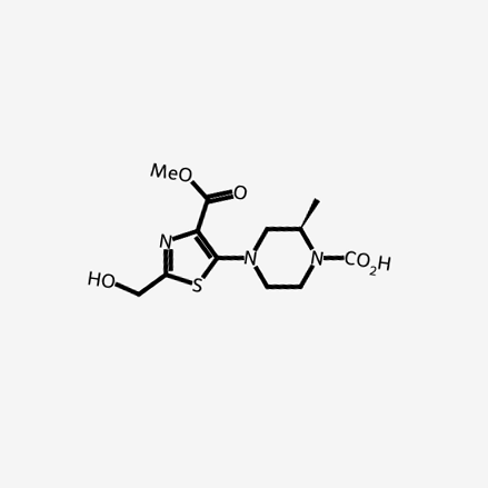 COC(=O)c1nc(CO)sc1N1CCN(C(=O)O)[C@H](C)C1